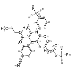 C=CCOC(=O)C1=C(C)N(c2cccc(C(F)(F)F)c2)C(=O)N(CC(=O)N[S+]([O-])CC(F)(F)F)C1c1ccc(C#N)cc1